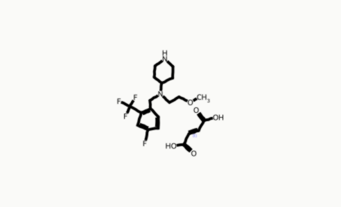 COCCN(Cc1ccc(F)cc1C(F)(F)F)C1CCNCC1.O=C(O)/C=C/C(=O)O